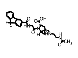 CC(=O)NCCNC[C@@]12C[C@@H]1N(C(=O)CNC(=O)c1ccc3c(c1)-c1ccccc1C3(F)F)[C@H](C(=O)O)C2